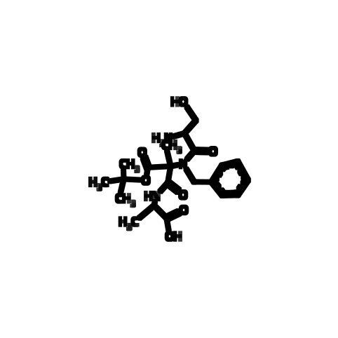 CC(NC(=O)C(C)(C(=O)OC(C)(C)C)N(Cc1ccccc1)C(=O)C(N)CO)C(=O)O